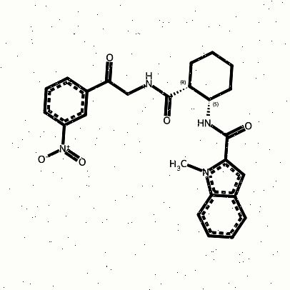 Cn1c(C(=O)N[C@H]2CCCC[C@H]2C(=O)NCC(=O)c2cccc([N+](=O)[O-])c2)cc2ccccc21